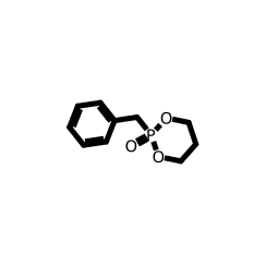 O=P1(Cc2ccccc2)OCCCO1